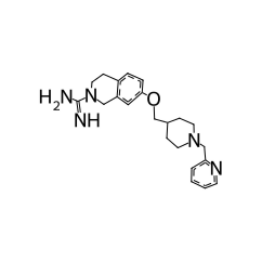 N=C(N)N1CCc2ccc(OCC3CCN(Cc4ccccn4)CC3)cc2C1